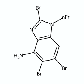 CCCn1c(Br)nc2c(N)c(Br)c(Br)cc21